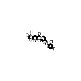 Cc1nc2c(cc1C(=O)N1CCC(COc3ccc(F)cc3Cl)CC1)NC(=O)CO2